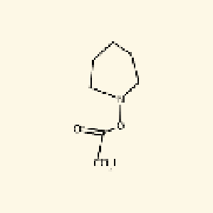 O=C(O)C(=O)ON1CCCCC1